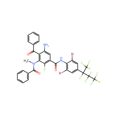 CN(C(=O)c1ccccc1)c1c(F)c(C(=O)Nc2c(Br)cc(C(F)(C(F)(F)F)C(F)(F)C(F)(F)F)cc2Br)cc(N)c1C(=O)c1ccccc1